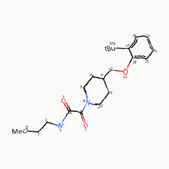 COCC[N]C(=O)C(=O)N1CCC(COc2ccccc2C(C)(C)C)CC1